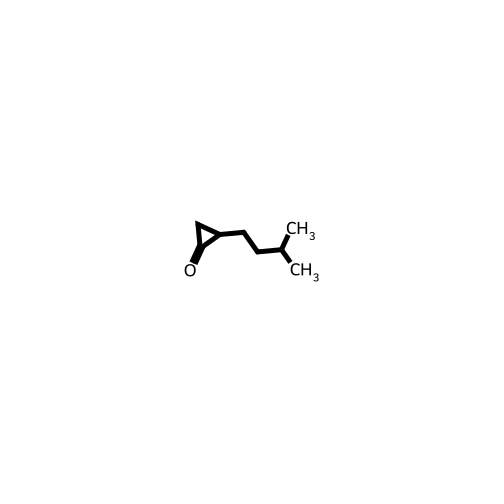 CC(C)CCC1CC1=O